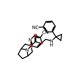 N#Cc1ccc(N2C3CCC2CN(C(=O)CCNC2(c4cccc(C#N)c4)CC2)C3)nc1